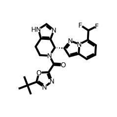 CC(C)(C)c1nnc(C(=O)N2CCc3[nH]cnc3[C@@H]2c2cc3cccc(C(F)F)n3n2)o1